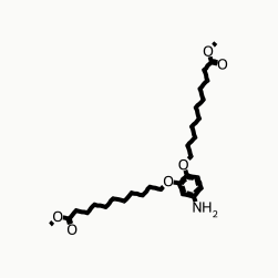 COC(=O)CCCCCCCCCCOc1ccc(N)cc1OCCCCCCCCCCC(=O)OC